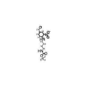 CC(C)(C)OC(=O)NCCCCNc1ccc(C=O)cc1[N+](=O)[O-]